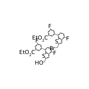 CCOC(=O)c1cc(F)cc(-c2ccc(F)c3cc(CBr)sc23)c1.CCOC(=O)c1cc(F)cc(-c2ccc(F)c3cc(CO)sc23)c1